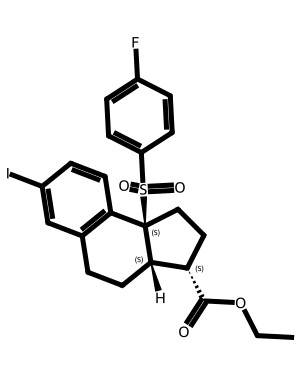 CCOC(=O)[C@H]1CC[C@@]2(S(=O)(=O)c3ccc(F)cc3)c3ccc(I)cc3CC[C@@H]12